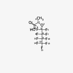 CC(OC(F)(F)C(F)(F)C(F)(F)C(F)(F)F)C(=O)O